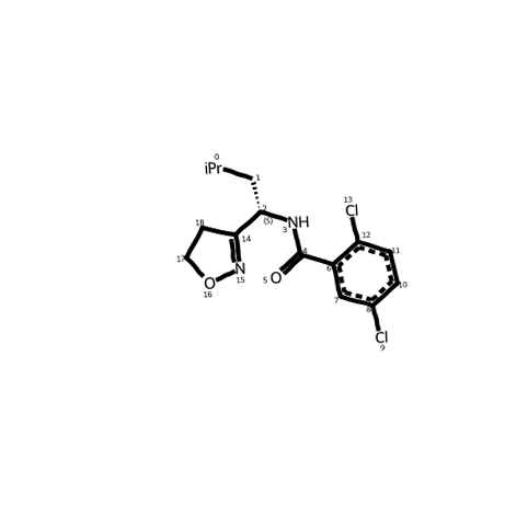 CC(C)C[C@H](NC(=O)c1cc(Cl)ccc1Cl)C1=NOCC1